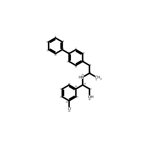 CC(Cc1ccc(-c2ccccc2)cc1)NC(CO)c1cccc(Cl)c1